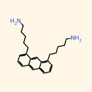 NCCCCCc1cccc2cc3cccc(CCCCCN)c3cc12